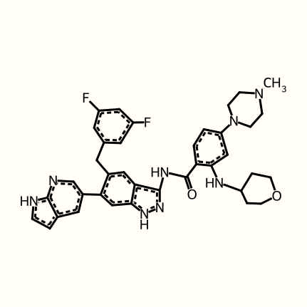 CN1CCN(c2ccc(C(=O)Nc3n[nH]c4cc(-c5cnc6[nH]ccc6c5)c(Cc5cc(F)cc(F)c5)cc34)c(NC3CCOCC3)c2)CC1